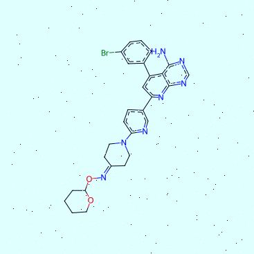 Nc1ncnc2nc(-c3ccc(N4CCC(=NOC5CCCCO5)CC4)nc3)cc(-c3cccc(Br)c3)c12